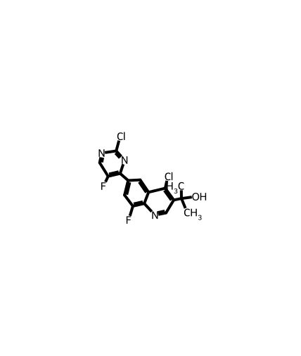 CC(C)(O)c1cnc2c(F)cc(-c3nc(Cl)ncc3F)cc2c1Cl